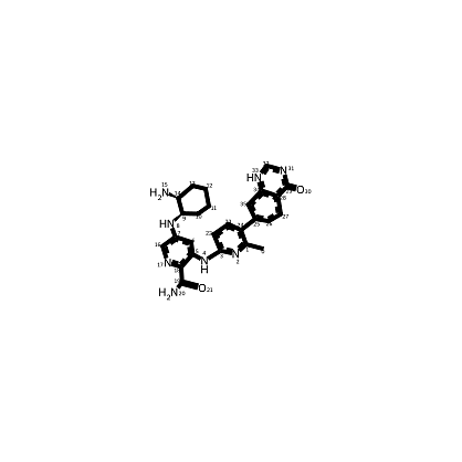 Cc1nc(Nc2cc(N[C@@H]3CCCC[C@@H]3N)cnc2C(N)=O)ccc1-c1ccc2c(=O)nc[nH]c2c1